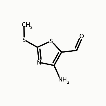 CSc1nc(N)c(C=O)s1